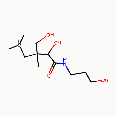 C[SiH](C)CC(C)(CO)C(O)C(=O)NCCCO